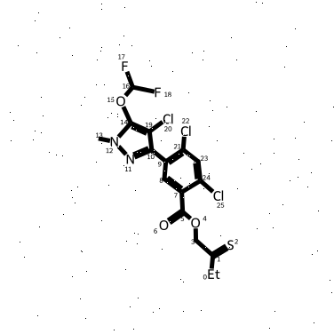 CCC(=S)COC(=O)c1cc(-c2nn(C)c(OC(F)F)c2Cl)c(Cl)cc1Cl